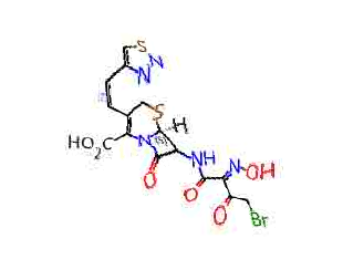 O=C(O)C1=C(/C=C\c2csnn2)CS[C@H]2C(NC(=O)C(=NO)C(=O)CBr)C(=O)N12